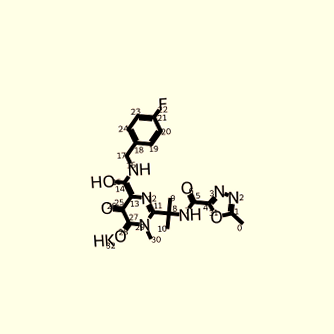 Cc1nnc(C(=O)NC(C)(C)C2=NC(=C(O)NCc3ccc(F)cc3)C(=O)C(=O)N2C)o1.[KH]